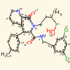 Cc1ccc(-c2c(C(=O)NCc3cc(Cl)cc(Cl)c3)n(CCC(C)CO)c(=O)c3ncccc23)cc1